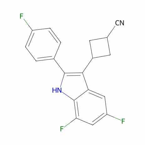 N#CC1CC(c2c(-c3ccc(F)cc3)[nH]c3c(F)cc(F)cc23)C1